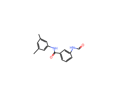 Cc1cc(C)cc(NC(=O)c2cccc(NC=O)c2)c1